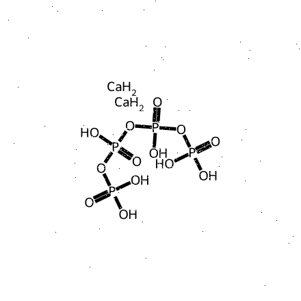 O=P(O)(O)OP(=O)(O)OP(=O)(O)OP(=O)(O)O.[CaH2].[CaH2]